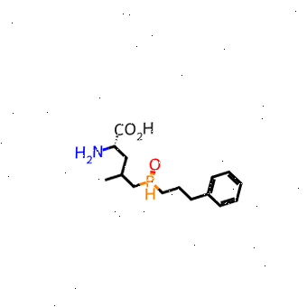 CC(C[C@H](N)C(=O)O)C[PH](=O)CCCc1ccccc1